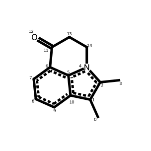 Cc1c(C)n2c3c(cccc13)C(=O)CC2